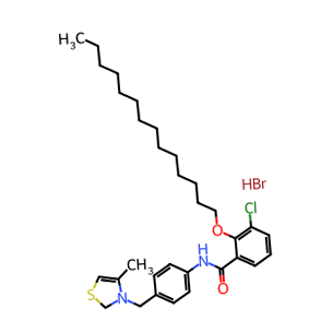 Br.CCCCCCCCCCCCCCOc1c(Cl)cccc1C(=O)Nc1ccc(CN2CSC=C2C)cc1